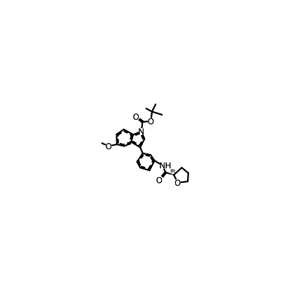 COc1ccc2c(c1)c(-c1cccc(NC(=O)[C@H]3CCCO3)c1)cn2C(=O)OC(C)(C)C